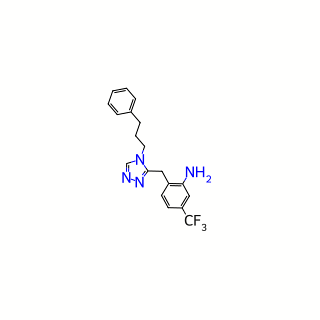 Nc1cc(C(F)(F)F)ccc1Cc1nncn1CCCc1ccccc1